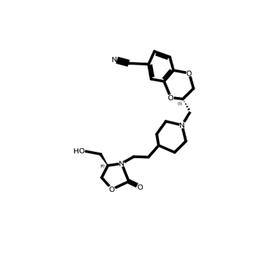 N#Cc1ccc2c(c1)O[C@@H](CN1CCC(CCN3C(=O)OC[C@H]3CO)CC1)CO2